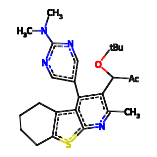 CC(=O)C(OC(C)(C)C)c1c(C)nc2sc3c(c2c1-c1cnc(N(C)C)nc1)CCCC3